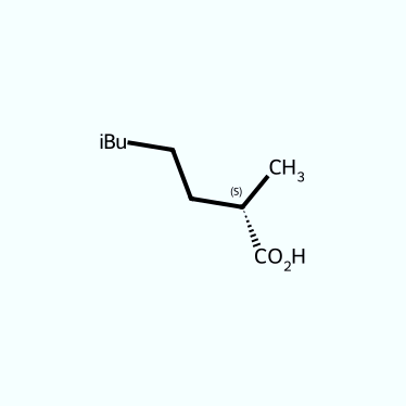 CCC(C)CC[C@H](C)C(=O)O